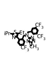 CCc1sc(C(C)C)nc1-c1ccc(C(F)(F)F)cc1CN(Cc1cc(C(F)(F)F)cc(C(F)(F)F)c1)c1nnn(C)n1